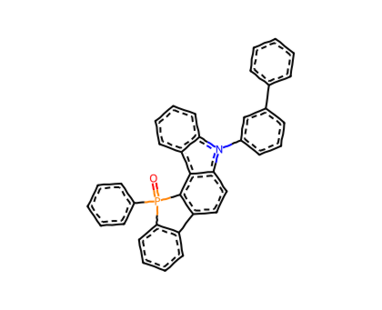 O=P1(c2ccccc2)c2ccccc2-c2ccc3c(c21)c1ccccc1n3-c1cccc(-c2ccccc2)c1